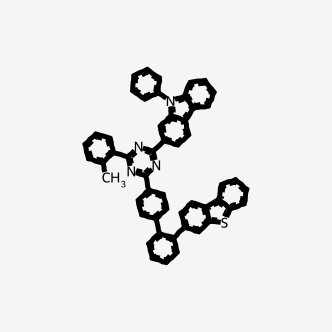 Cc1ccccc1-c1nc(-c2ccc(-c3ccccc3-c3ccc4c(c3)sc3ccccc34)cc2)nc(-c2ccc3c4ccccc4n(-c4ccccc4)c3c2)n1